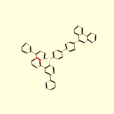 c1ccc(-c2ccc(N(c3ccc(-c4ccc(-c5cc6ccccc6c6ccccc56)cc4)cc3)c3ccc(-c4ccccc4)cc3-c3ccccc3)cc2)cc1